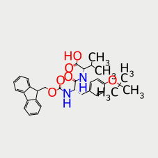 CC(C)[C@H](NC(=O)[C@H](Cc1ccc(OC(C)(C)C)cc1)NC(=O)OCC1c2ccccc2-c2ccccc21)C(=O)O